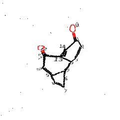 O=C1C=CC2=C3CC=CC3=CC(=O)C2=C1